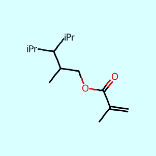 C=C(C)C(=O)OCC(C)C(C(C)C)C(C)C